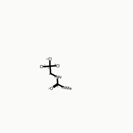 CNC(=O)NCC(Cl)(Cl)Cl